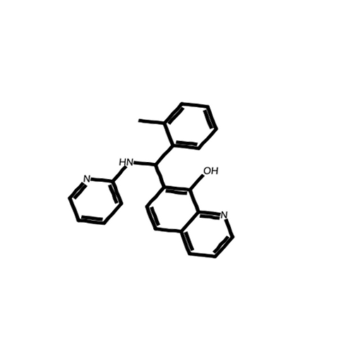 Cc1ccccc1C(Nc1ccccn1)c1ccc2cccnc2c1O